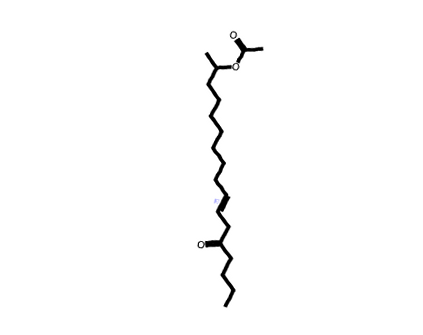 CCCCC(=O)C/C=C/CCCCCCCC(C)OC(C)=O